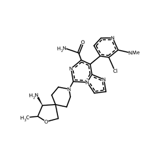 CNc1nccc(-c2c(C(N)=O)nc(N3CCC4(CC3)COC(C)[C@H]4N)n3ccnc23)c1Cl